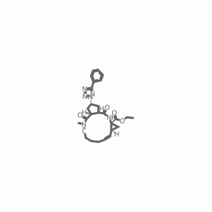 CCOC(=O)[C@@]12C[C@H]1/C=C\CCCCN(C)C(=O)[C@@H]1C[C@H](n3nnc(-c4ccccc4)n3)C[C@H]1C(=O)N2